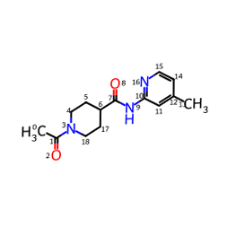 CC(=O)N1CCC(C(=O)Nc2cc(C)ccn2)CC1